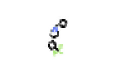 FC(F)(F)c1cccc(C2=CCN(Cc3ccccc3)CC2)c1